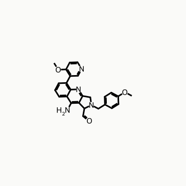 COc1ccc(CN2Cc3nc4c(-c5cnccc5OC)cccc4c(N)c3C2C=O)cc1